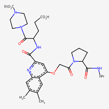 CCCNC(=O)C1CCCN1C(=O)COc1cc(C(=O)NC(CCC(=O)O)C(=O)N2CCN(C(=O)OCC)CC2)nc2cc(C)c(C)cc12